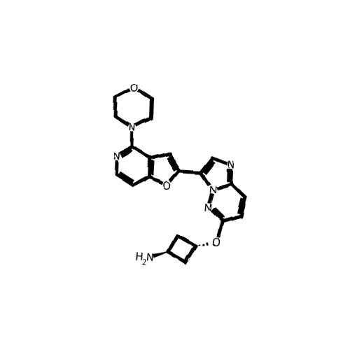 N[C@H]1C[C@H](Oc2ccc3ncc(-c4cc5c(N6CCOCC6)nccc5o4)n3n2)C1